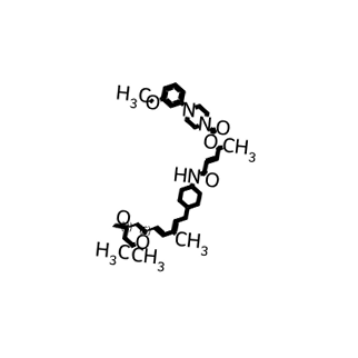 COc1cccc(N2CCN(C(=O)OC(C)C=CC(=O)NC3CCC(CC=C(C)C=C[C@@H]4C[C@]5(CO5)CC(C)(C)O4)CC3)CC2)c1